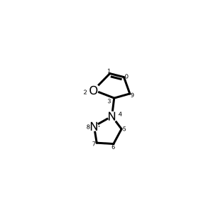 C1=COC(N2CCC[N]2)C1